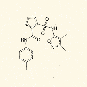 Cc1ccc(NC(=O)c2sccc2S(=O)(=O)Nc2onc(C)c2C)cc1